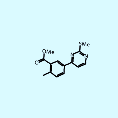 COC(=O)c1cc(-c2ccnc(SC)n2)ccc1C